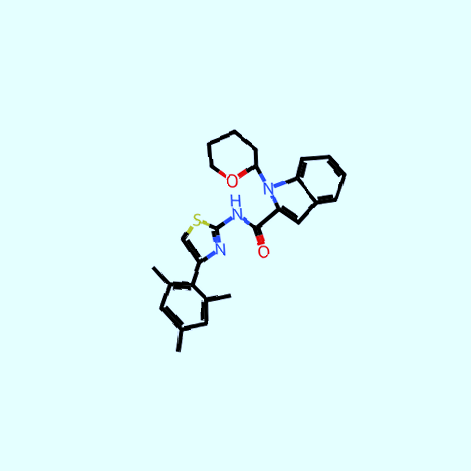 Cc1cc(C)c(-c2csc(NC(=O)c3cc4ccccc4n3C3CCCCO3)n2)c(C)c1